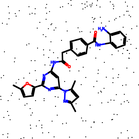 Cc1cc(C)n(-c2cc(NC(=O)Cc3ccc(C(=O)Nc4ccccc4N)cc3)nc(-c3ccc(C)o3)n2)n1